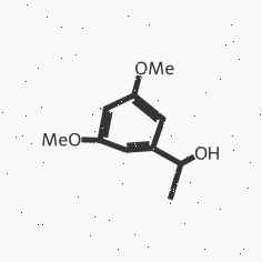 COc1[c]c(OC)cc(C(C)O)c1